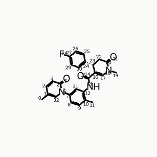 Cc1ccc(=O)n(-c2ccc(C)c(NC(=O)C3=CN(C)C(=O)C[C@H]3c3ccc(F)cc3)c2)c1